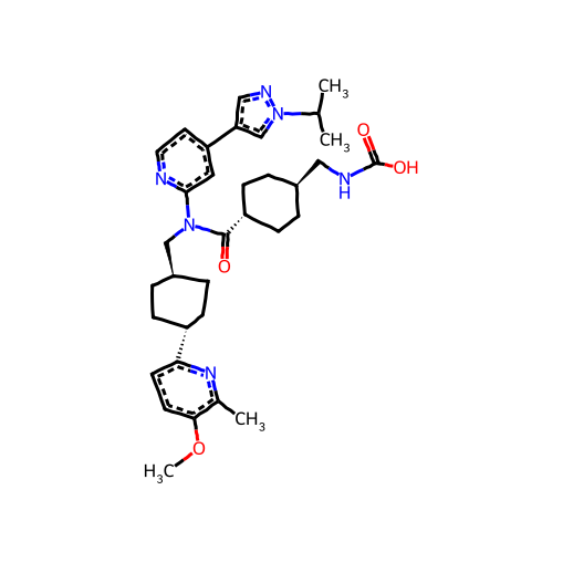 COc1ccc([C@H]2CC[C@H](CN(c3cc(-c4cnn(C(C)C)c4)ccn3)C(=O)[C@H]3CC[C@H](CNC(=O)O)CC3)CC2)nc1C